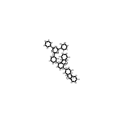 c1ccc(-c2nc(-c3ccccc3)nc(-c3cccc(-c4ccc(-c5ccc6c(c5)oc5ccccc56)c5oc6ccccc6c45)c3)n2)cc1